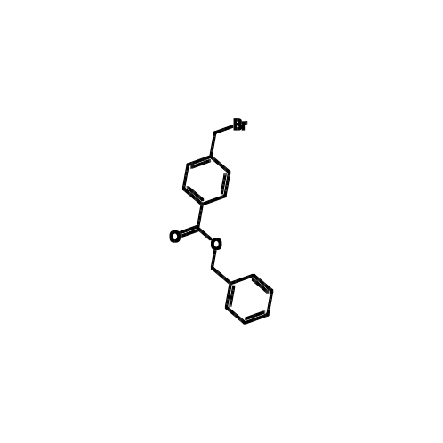 O=C(OCc1ccccc1)c1ccc(CBr)cc1